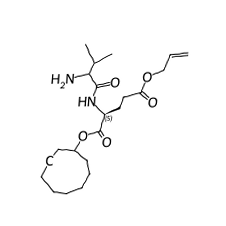 C=CCOC(=O)CC[C@H](NC(=O)C(N)C(C)C)C(=O)OC1CCCCCCCC1